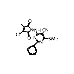 CSc1nc(-c2ccccc2)nc(NN2C(=O)C(C)=C(Cl)C2=O)c1C#N